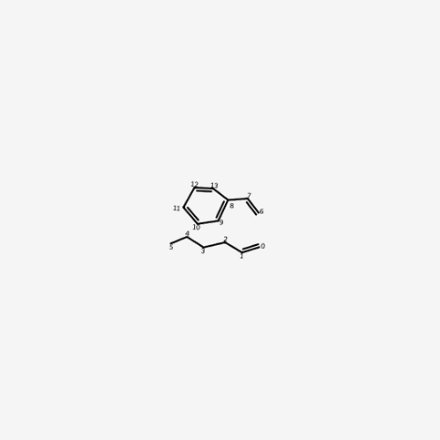 C=CCCCC.C=Cc1ccccc1